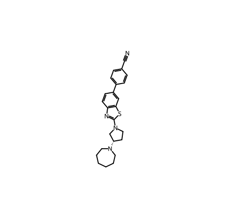 N#Cc1ccc(-c2ccc3nc(N4CC[C@H](N5CCCCCC5)C4)sc3c2)cc1